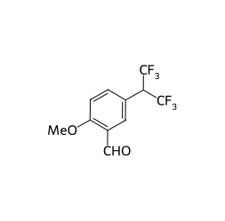 COc1ccc(C(C(F)(F)F)C(F)(F)F)cc1C=O